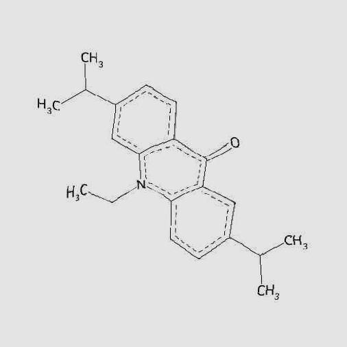 CCn1c2ccc(C(C)C)cc2c(=O)c2ccc(C(C)C)cc21